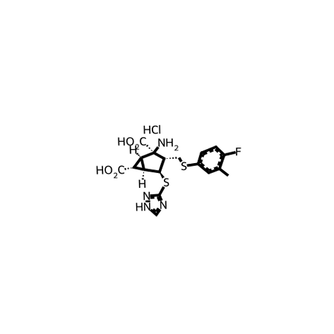 Cc1cc(SC[C@@H]2[C@@H](Sc3nc[nH]n3)[C@H]3[C@H](C(=O)O)[C@H]3[C@]2(N)C(=O)O)ccc1F.Cl